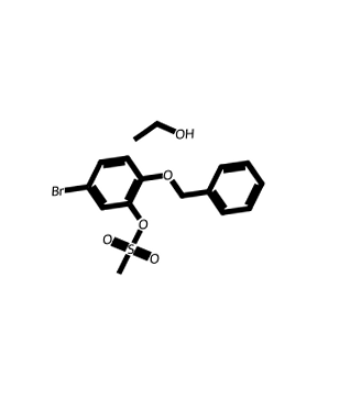 CCO.CS(=O)(=O)Oc1cc(Br)ccc1OCc1ccccc1